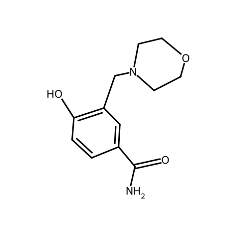 NC(=O)c1ccc(O)c(CN2CCOCC2)c1